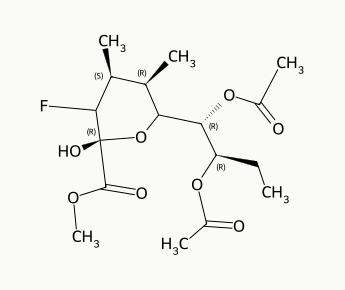 CC[C@@H](OC(C)=O)[C@@H](OC(C)=O)C1O[C@](O)(C(=O)OC)C(F)[C@@H](C)[C@H]1C